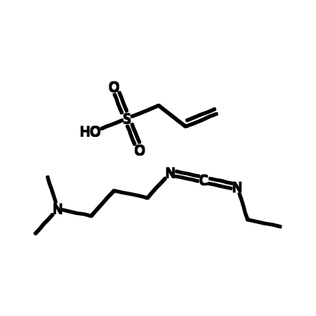 C=CCS(=O)(=O)O.CCN=C=NCCCN(C)C